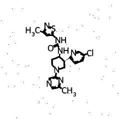 Cc1cc(NC(=O)N[C@@H]2CCN(c3cncc(C)n3)C[C@H]2c2ccc(Cl)cn2)sn1